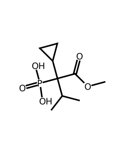 COC(=O)C(C(C)C)(C1CC1)P(=O)(O)O